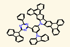 c1ccc(-c2nc(-c3cc(-n4c5ccccc5c5ccccc54)cc(-n4c5cc6c7ccccc7c7ccccc7c6cc5c5cc6c7ccccc7c7ccccc7c6cc54)c3)nc(C3c4ccccc4-c4ccccc43)n2)cc1